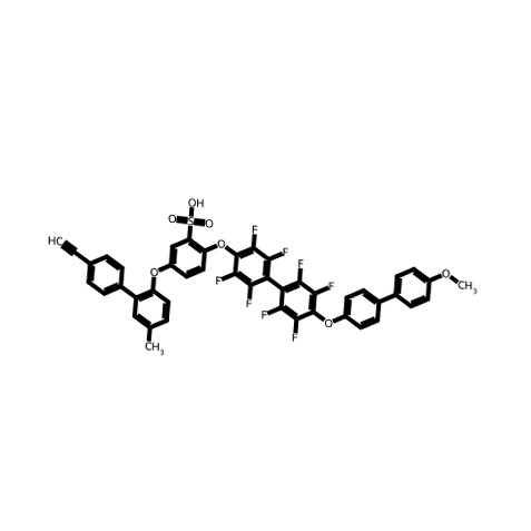 C#Cc1ccc(-c2cc(C)ccc2Oc2ccc(Oc3c(F)c(F)c(-c4c(F)c(F)c(Oc5ccc(-c6ccc(OC)cc6)cc5)c(F)c4F)c(F)c3F)c(S(=O)(=O)O)c2)cc1